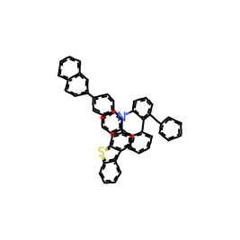 c1ccc(-c2ccccc2-c2c(-c3ccccc3)cccc2N(c2ccc(-c3ccc4ccccc4c3)cc2)c2ccc3c(c2)sc2ccccc23)cc1